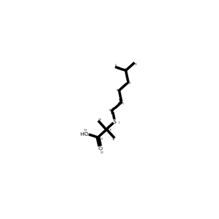 CC(C)CCCCSC(C)(C)C(=O)O